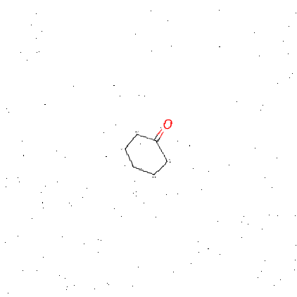 O=C1[C][C]C[CH][C]1